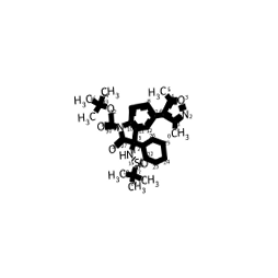 Cc1noc(C)c1-c1ccc2c(c1)C(N[S@@+]([O-])C(C)(C)C)(C1CCCCC1)C(=O)N2C(=O)OC(C)(C)C